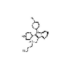 CC(C)[C@H]1CC[C@@H](n2c(C3CCNCC3)c(CNCCO)c3ccccc32)CC1